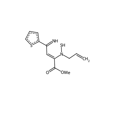 C=CCN(S)/C(=C\C(=N)c1cccs1)C(=O)OC